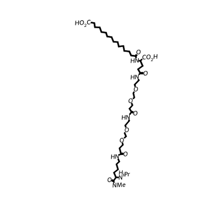 CNC(=O)C(CCCCNC(=O)CCOCCOCCNC(=O)CCOCCOCCNC(=O)CCC(NC(=O)CCCCCCCCCCCCCCC(=O)O)C(=O)O)NC(C)C